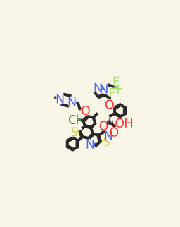 CC1=C(c2c(-c3csc4ccccc34)ncc3snc(O[C@H](Cc4ccccc4OCc4ccnn4CC(F)(F)F)C(=O)O)c23)CC(C)C(OCCN2CCN(C)CC2)=C1Cl